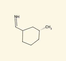 C[C@@H]1CCCC(C=N)C1